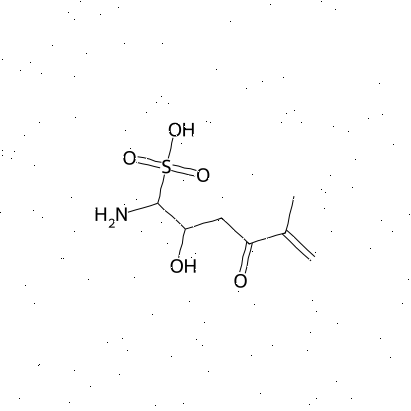 C=C(C)C(=O)CC(O)C(N)S(=O)(=O)O